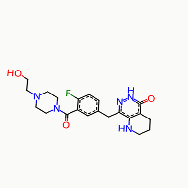 O=C(c1cc(Cc2n[nH]c(=O)c3c2NCCC3)ccc1F)N1CCN(CCO)CC1